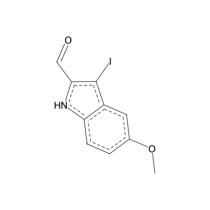 COc1ccc2[nH]c(C=O)c(I)c2c1